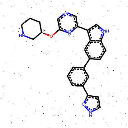 c1cc(-c2ccc3[nH]cc(-c4cncc(O[C@@H]5CCCNC5)n4)c3c2)cc(-c2cc[nH]n2)c1